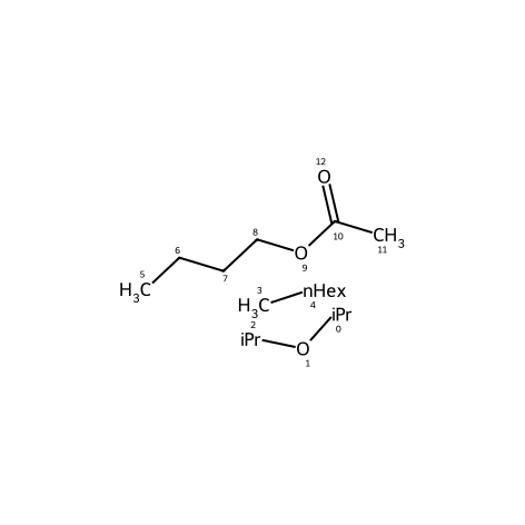 CC(C)OC(C)C.CCCCCCC.CCCCOC(C)=O